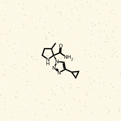 CC1CCN[C@]1(C(N)=O)n1cc(C2CC2)nn1